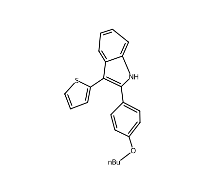 CCCCOc1ccc(-c2[nH]c3ccccc3c2-c2cccs2)cc1